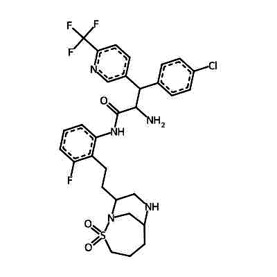 NC(C(=O)Nc1cccc(F)c1CCC1CNC2CCCS(=O)(=O)N1C2)C(c1ccc(Cl)cc1)c1ccc(C(F)(F)F)nc1